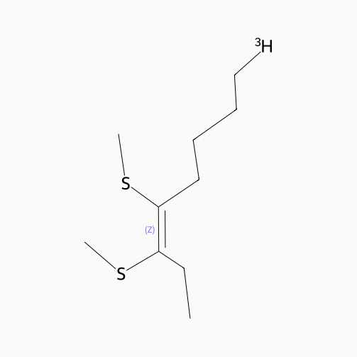 [3H]CCCC/C(SC)=C(\CC)SC